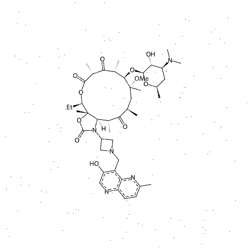 CC[C@H]1OC(=O)[C@H](C)C(=O)[C@H](C)[C@@H](O[C@@H]2O[C@H](C)C[C@H](N(C)C)[C@H]2O)[C@](C)(OC)C[C@@H](C)C(=O)[C@H](C)[C@H]2N(C3CN(Cc4c(O)cnc5ccc(C)nc45)C3)C(=O)O[C@]12C